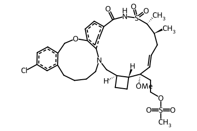 CO[C@@]1(CCOS(C)(=O)=O)/C=C/C[C@H](C)[C@@H](C)S(=O)(=O)NC(=O)c2ccc3c(c2)N(CCCCc2cc(Cl)ccc2CO3)C[C@@H]2CC[C@H]21